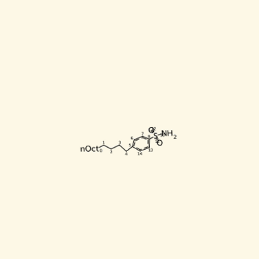 CCCCCCCCCCCCc1ccc(S(N)(=O)=O)cc1